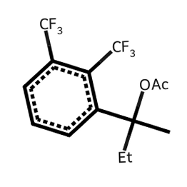 CCC(C)(OC(C)=O)c1cccc(C(F)(F)F)c1C(F)(F)F